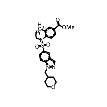 COC(=O)c1ccc(N(CC(C)C)S(=O)(=O)c2ccc3c(cnn3CC3CCOCC3)c2)c(C)c1